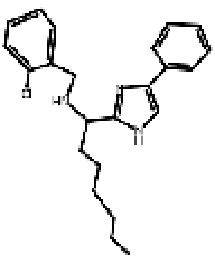 CCCCCCC(NCc1ccccc1Cl)c1nc(-c2ccccc2)c[nH]1